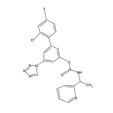 CC(NC(=O)Oc1cc(-c2ccc(F)cc2Cl)cc(-n2cnnn2)c1)c1ccccn1